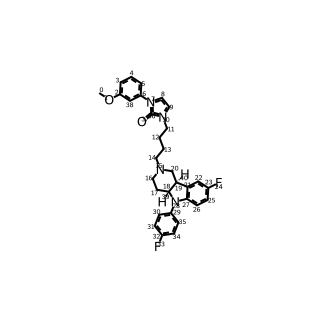 COc1cccc(-n2ccn(CCCCN3CC[C@@H]4[C@@H](C3)c3cc(F)ccc3N4c3ccc(F)cc3)c2=O)c1